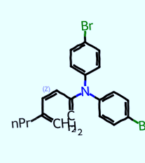 C=C(/C=C\C(=C)N(c1ccc(Br)cc1)c1ccc(Br)cc1)CCC